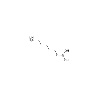 CCCCCCOB(O)O.[LiH]